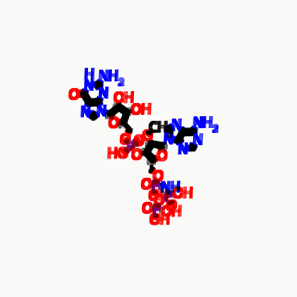 CO[C@@H]1[C@H](OP(=O)(O)OC[C@H]2O[C@@H](n3cnc4c(=O)[nH]c(N)nc43)[C@H](O)[C@@H]2O)[C@@H](COP(=O)(O)NP(=O)(O)OP(=O)(O)O)O[C@H]1n1cnc2c(N)ncnc21